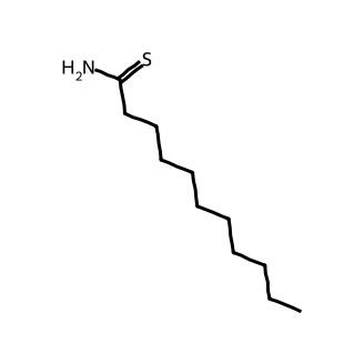 CCCCCCCCCCC(N)=S